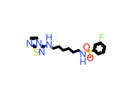 O=S(=O)(NCCCCCCNc1nsc2nccn12)c1cccc(F)c1